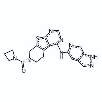 O=C([C@H]1CCc2c(sc3ncnc(Nc4cc5cn[nH]c5cn4)c23)C1)N1CCC1